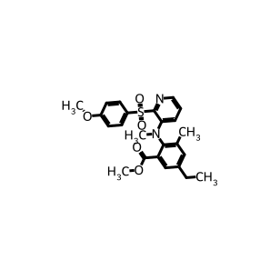 CCc1cc(C)c(N(C)c2cccnc2S(=O)(=O)c2ccc(OC)cc2)c(C(=O)OC)c1